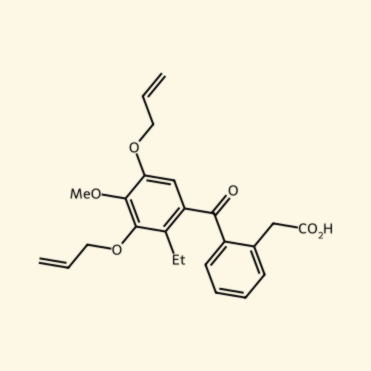 C=CCOc1cc(C(=O)c2ccccc2CC(=O)O)c(CC)c(OCC=C)c1OC